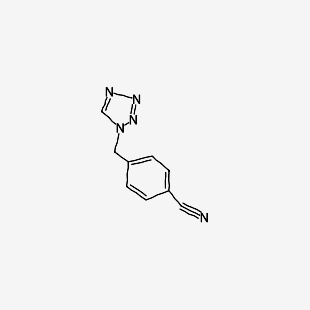 N#Cc1ccc(Cn2cnnn2)cc1